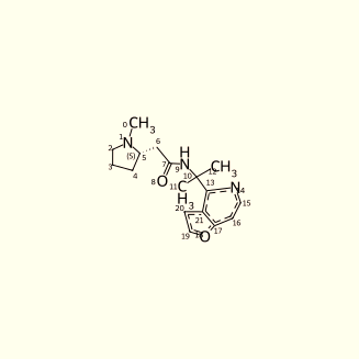 CN1CCC[C@H]1CC(=O)NC(C)(C)c1nccc2occc12